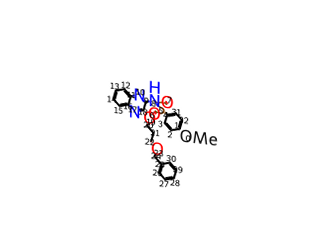 COc1ccc(S(=O)(=O)Nc2nc3ccccc3nc2OCCCOCc2ccccc2)cc1